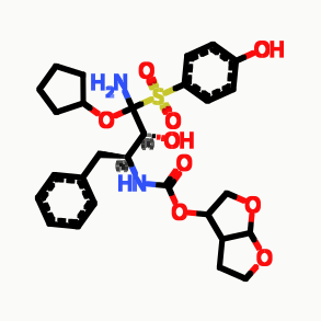 NC(OC1CCCC1)([C@H](O)[C@H](Cc1ccccc1)NC(=O)OC1COC2OCCC12)S(=O)(=O)c1ccc(O)cc1